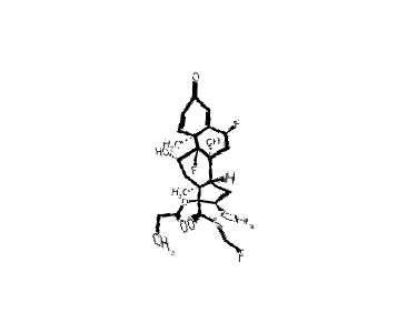 CCC(=O)O[C@]1(C(=O)SCF)[C@H](C)C[C@H]2[C@]3(C)C[C@H](F)C4=CC(=O)C=C[C@]4(C)[C@@]3(F)[C@@H](O)C[C@@]21C